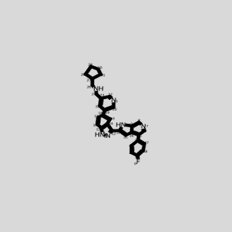 Fc1ccc(-c2cncc3[nH]c(-c4n[nH]c5ccc(-c6cncc(CNCC7CCCC7)c6)cc45)cc23)cc1